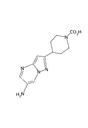 Nc1cnc2cc(C3CCN(C(=O)O)CC3)nn2c1